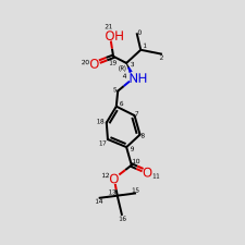 CC(C)[C@@H](NCc1ccc(C(=O)OC(C)(C)C)cc1)C(=O)O